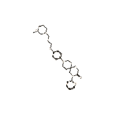 C[C@H]1CCCN(CCCOc2ccc(N3CCC4(CC3)CN(c3ccccn3)C(=O)CO4)cc2)C1